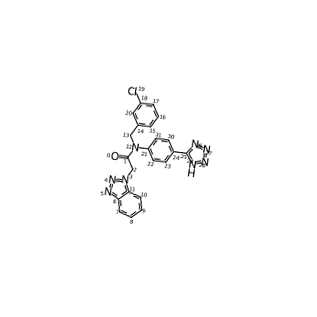 O=C(Cn1nnc2ccccc21)N(Cc1cccc(Cl)c1)c1ccc(-c2nnn[nH]2)cc1